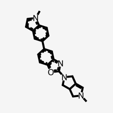 CN1C=C2CN(c3nc4cc(-c5ccc6c(ccn6C)c5)ccc4o3)CC2C1